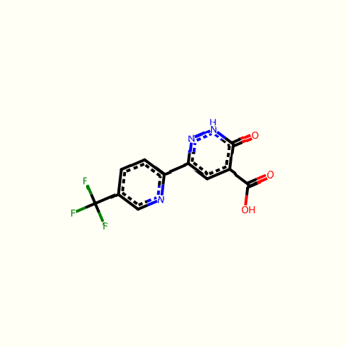 O=C(O)c1cc(-c2ccc(C(F)(F)F)cn2)n[nH]c1=O